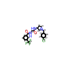 O=C(CNC(=O)c1cccc(C(F)(F)F)c1)N[C@@H]1CCN(Cc2ccc(Cl)cc2)C1